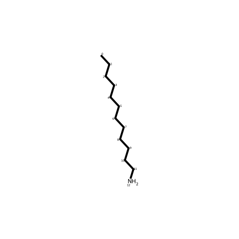 C[CH]CCCCCCCCCCN